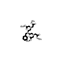 CC(C)(C)OC(=O)CN(CCN(CCN(CC(=O)OC(C)(C)C)CC(=O)OC(C)(C)C)Cc1ccccc1)CC(=O)OC(C)(C)C